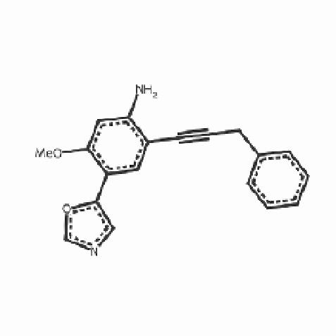 COc1cc(N)c(C#CCc2ccccc2)cc1-c1cnco1